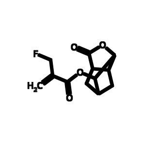 C=C(CF)C(=O)OC1C2CC3C(=O)OC1C3C2